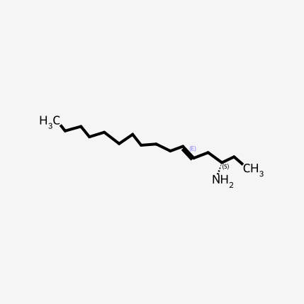 CCCCCCCCCC/C=C/C[C@@H](N)CC